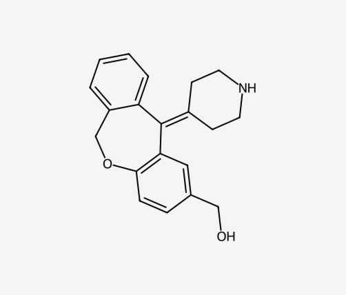 OCc1ccc2c(c1)C(=C1CCNCC1)c1ccccc1CO2